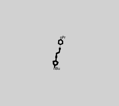 CCCCc1ccc(C#C/C=C/C#C[C@H]2CC[C@H](CCC)CC2)cc1